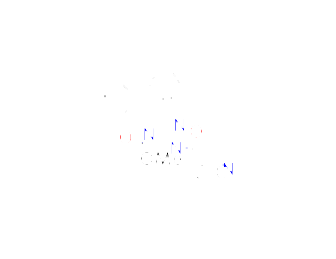 COC(=O)N(c1noc(C2CN3CCC2CC3)n1)C1c2ccccc2-c2ccccc21